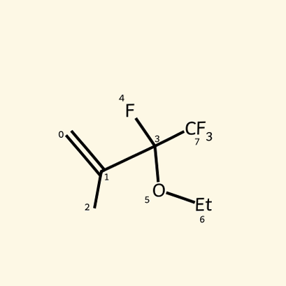 C=C(C)C(F)(OCC)C(F)(F)F